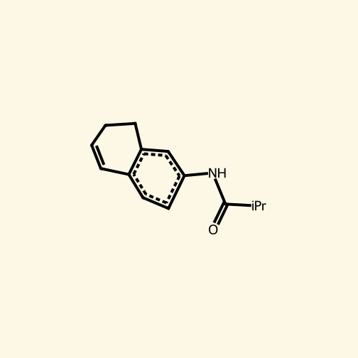 CC(C)C(=O)Nc1ccc2c(c1)CCC=C2